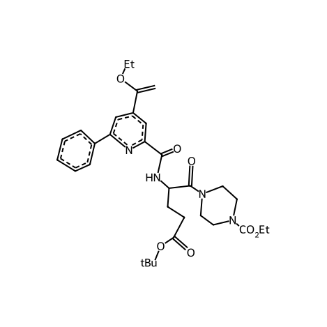 C=C(OCC)c1cc(C(=O)NC(CCC(=O)OC(C)(C)C)C(=O)N2CCN(C(=O)OCC)CC2)nc(-c2ccccc2)c1